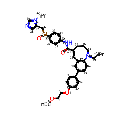 CCCCOCCOc1ccc(-c2ccc3c(c2)/C=C(/C(=O)Nc2ccc([S+]([O-])Cc4cncn4CCC)cc2)CCCN3CC(C)C)cc1